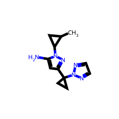 CC1CC1n1nc(C2(n3nccn3)CC2)cc1N